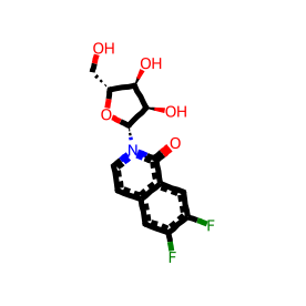 O=c1c2cc(F)c(F)cc2ccn1[C@@H]1O[C@H](CO)[C@@H](O)[C@H]1O